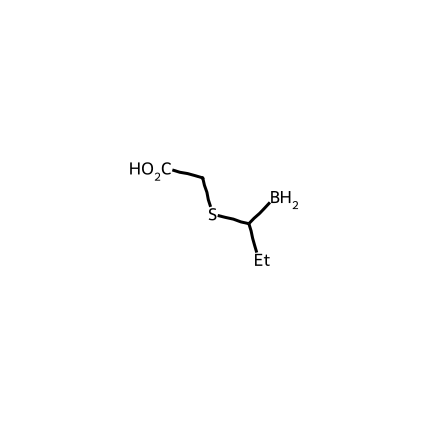 BC(CC)SCC(=O)O